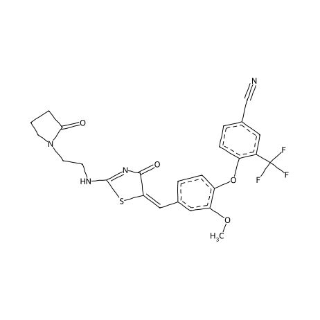 COc1cc(C=C2SC(NCCN3CCCC3=O)=NC2=O)ccc1Oc1ccc(C#N)cc1C(F)(F)F